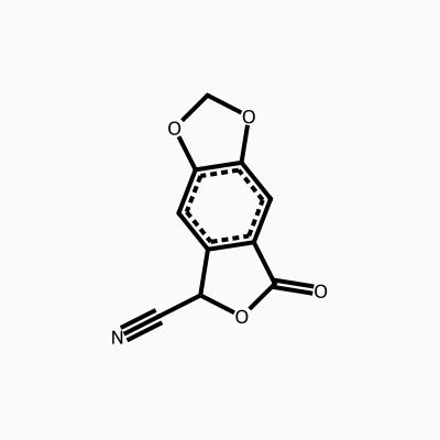 N#CC1OC(=O)c2cc3c(cc21)OCO3